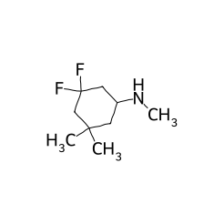 CNC1CC(C)(C)CC(F)(F)C1